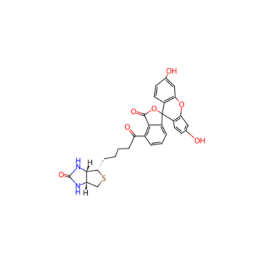 O=C1N[C@H]2[C@H](CS[C@H]2CCCCC(=O)c2cccc3c2C(=O)OC32c3ccc(O)cc3Oc3cc(O)ccc32)N1